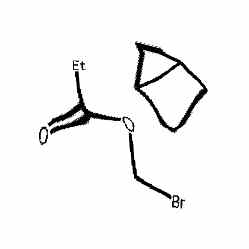 C1CC2CC12.CCC(=O)OCBr